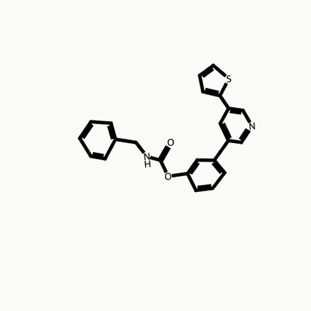 O=C(NCc1ccccc1)Oc1cccc(-c2cncc(-c3cccs3)c2)c1